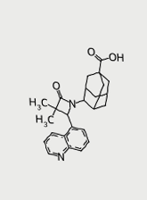 CC1(C)C(=O)N(C2C3CC4CC2CC(C(=O)O)(C4)C3)C1c1cccc2ncccc12